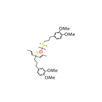 CC=CC(C=CC)(CCCc1ccc(OC)c(OC)c1)SOC(C)(C)S(C)(C)CCCc1ccc(OC)c(OC)c1